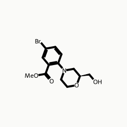 COC(=O)c1cc(Br)ccc1N1CCO[C@H](CO)C1